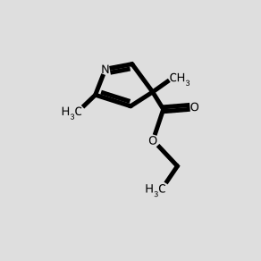 CCOC(=O)C1(C)C=NC(C)=C1